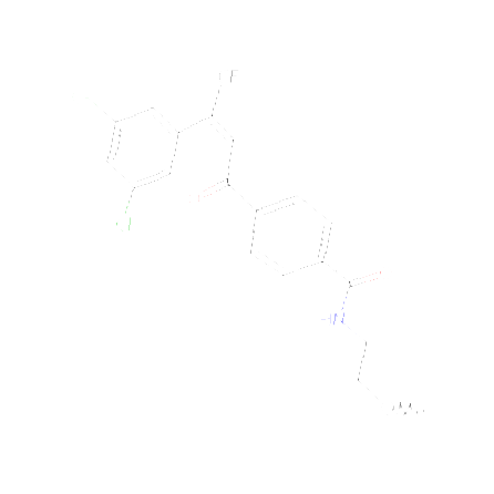 COCCNC(=O)c1ccc(C(=O)/C=C(\c2cc(Cl)cc(Cl)c2)C(F)(F)F)cc1